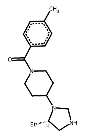 CC[C@H]1CNCN1C1CCN(C(=O)c2ccc(C)cc2)CC1